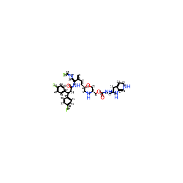 C=C(CC[C@@H]1CN[C@H](COC(=O)NCc2cc3c([nH]2)=CNCC=3)CO1)/C(=C\N=C/F)NC(=O)CC(c1ccc(F)cc1)c1ccc(F)cc1